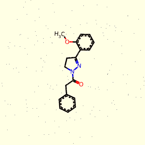 COc1ccccc1C1=NN(C(=O)Cc2ccccc2)CC1